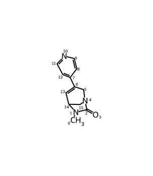 CN1C(=O)N2CC(c3ccncc3)=CC1C2